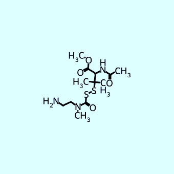 COC(=O)C(NC(C)=O)C(C)(C)SSC(=O)N(C)CCN